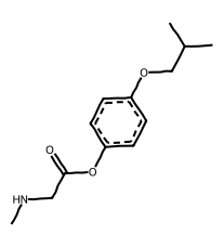 CNCC(=O)Oc1ccc(OCC(C)C)cc1